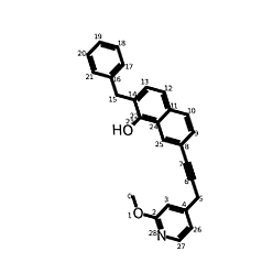 COc1cc(CC#Cc2ccc3ccc(Cc4ccccc4)c(O)c3c2)ccn1